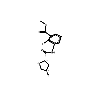 COC(=O)c1cccc(NC(=O)[C@@H]2C[C@@H](F)CN2)c1F